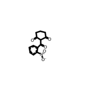 O=C1CCCC(=O)C1C(=O)c1ccccc1[N+](=O)[O-]